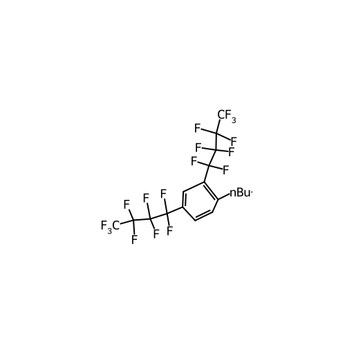 CCC[CH]c1ccc(C(F)(F)C(F)(F)C(F)(F)C(F)(F)F)cc1C(F)(F)C(F)(F)C(F)(F)C(F)(F)F